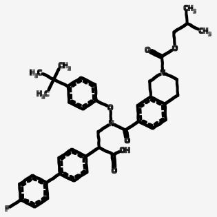 CC(C)COC(=O)N1CCc2ccc(C(=O)N(CC(C(=O)O)c3ccc(-c4ccc(F)cc4)cc3)Oc3ccc(C(C)(C)C)cc3)cc2C1